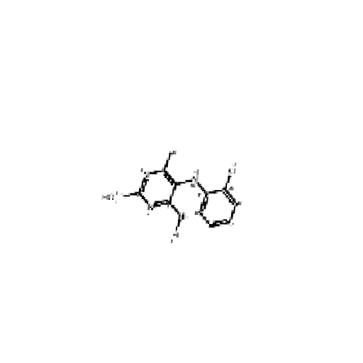 CCNc1nc(C(=O)O)nc(C)c1Nc1ccccc1Cl